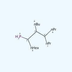 CCCCCCC(P)C(CCCC)C(CCC)CCC